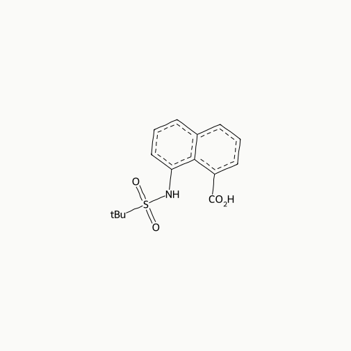 CC(C)(C)S(=O)(=O)Nc1cccc2cccc(C(=O)O)c12